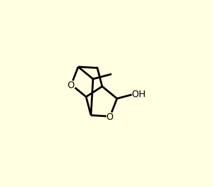 CC1C2CC3C(O)OC1C3O2